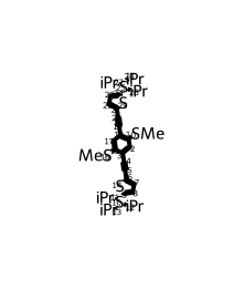 CSc1cc(C#Cc2ccc(S(C(C)C)(C(C)C)C(C)C)s2)c(SC)cc1C#Cc1ccc(S(C(C)C)(C(C)C)C(C)C)s1